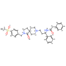 CS(=O)(=O)c1ccc(CN2CCC3(CCN(CCC(NC(=O)Cc4ccccc4)c4ccccc4)CC3)C2=O)cc1